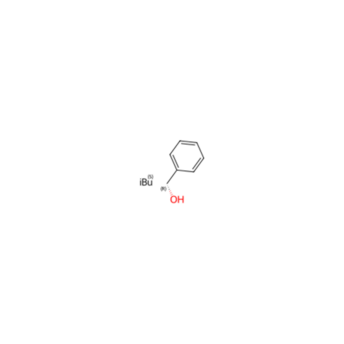 CC[C@H](C)[C@@H](O)c1ccccc1